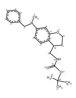 CN(Cc1ccccc1)c1ccc2c(c1)OCCC2CNC(=O)OC(C)(C)C